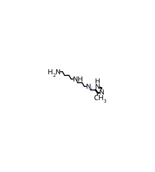 Cc1nc[nH]c1/C=N/CCCNCCCCN